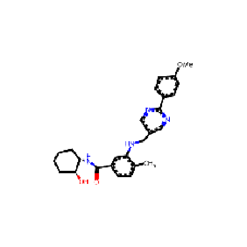 COc1ccc(-c2ncc(CNc3cc(C(=O)N[C@H]4CCCC[C@@H]4O)ccc3C)cn2)cc1